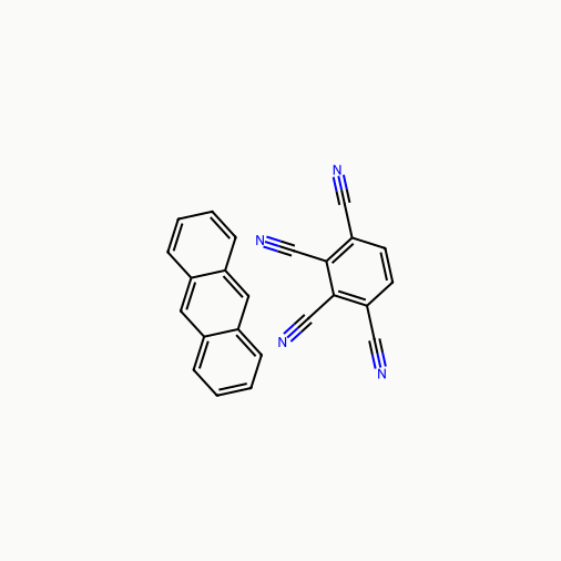 N#Cc1ccc(C#N)c(C#N)c1C#N.c1ccc2cc3ccccc3cc2c1